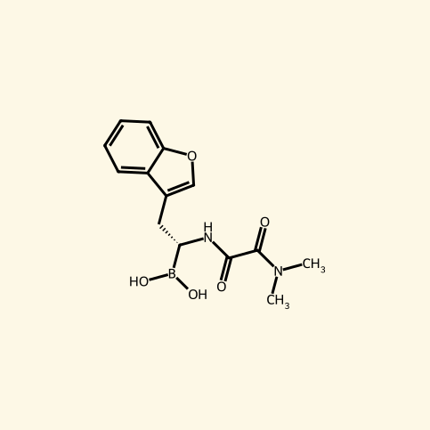 CN(C)C(=O)C(=O)N[C@@H](Cc1coc2ccccc12)B(O)O